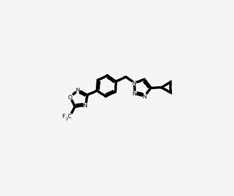 FC(F)(F)c1nc(-c2ccc(Cn3cc(C4CC4)nn3)cc2)no1